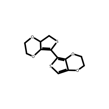 c1sc(C2=C3OCCOC3CS2)c2c1OCCO2